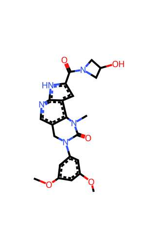 COc1cc(OC)cc(N2Cc3cnc4[nH]c(C(=O)N5CC(O)C5)cc4c3N(C)C2=O)c1